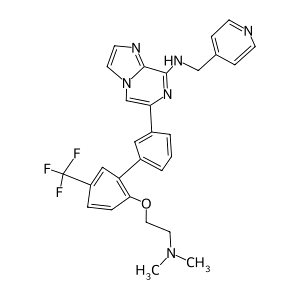 CN(C)CCOc1ccc(C(F)(F)F)cc1-c1cccc(-c2cn3ccnc3c(NCc3ccncc3)n2)c1